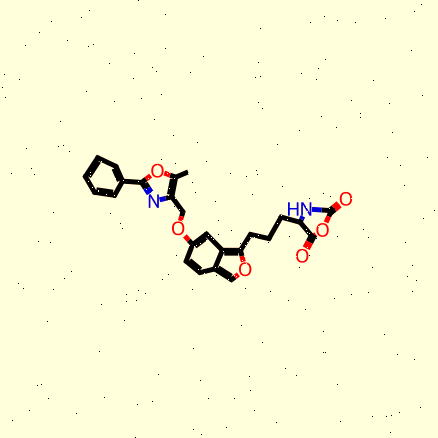 Cc1oc(-c2ccccc2)nc1COc1ccc2coc(CCCC3NC(=O)OC3=O)c2c1